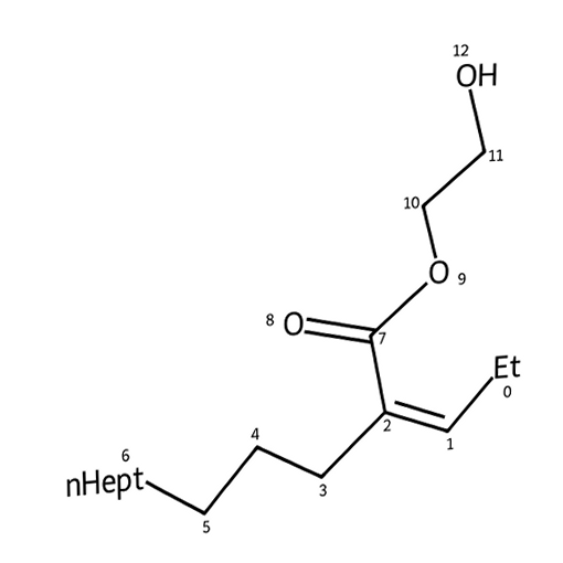 CCC=C(CCCCCCCCCC)C(=O)OCCO